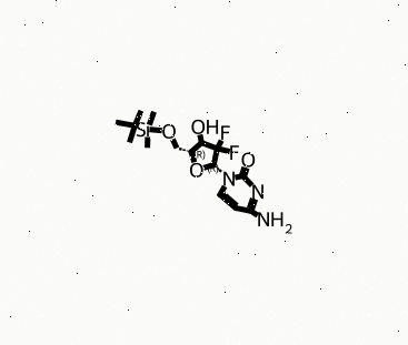 CC(C)(C)[Si](C)(C)OC[C@H]1O[C@@H](n2ccc(N)nc2=O)C(F)(F)C1O